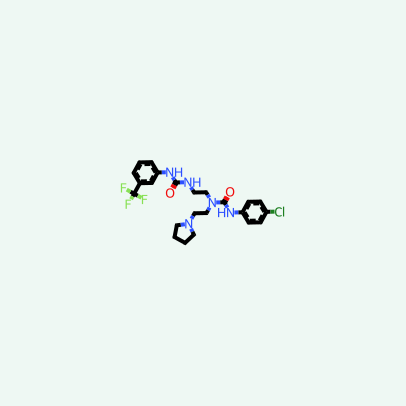 O=C(NCCN(CCN1CCCC1)C(=O)Nc1ccc(Cl)cc1)Nc1cccc(C(F)(F)F)c1